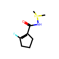 C[SH](C)NC(=O)C1=C(F)CCC1